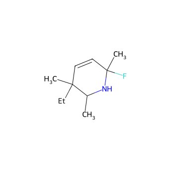 CCC1(C)C=CC(C)(F)NC1C